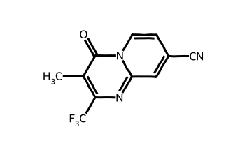 Cc1c(C(F)(F)F)nc2cc(C#N)ccn2c1=O